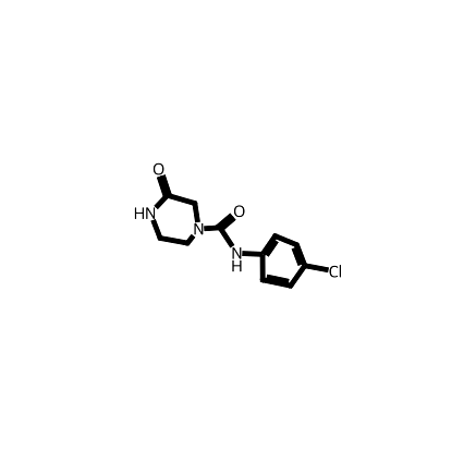 O=C1CN(C(=O)Nc2ccc(Cl)cc2)CCN1